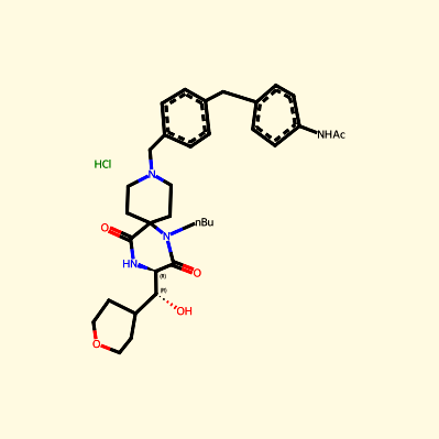 CCCCN1C(=O)[C@@H]([C@H](O)C2CCOCC2)NC(=O)C12CCN(Cc1ccc(Cc3ccc(NC(C)=O)cc3)cc1)CC2.Cl